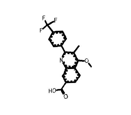 COc1c(C)c(-c2ccc(C(F)(F)F)cc2)nc2cc(C(=O)O)ccc12